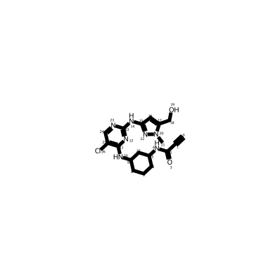 C#CC(=O)NC1CCCC(Nc2nc(Nc3cc(CO)n(C)n3)ncc2Cl)C1